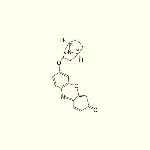 CN1[C@@H]2CC[C@H]1CC(Oc1ccc3nc4ccc(=O)cc-4oc3c1)C2